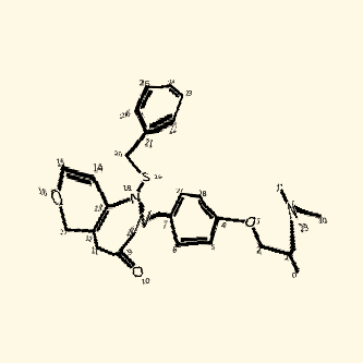 CC(COc1ccc(N2C(=O)CC3=C(C=COC3)N2SCc2ccccc2)cc1)N(C)C